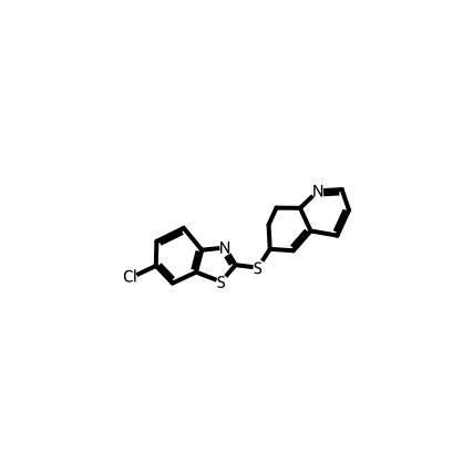 Clc1ccc2nc(SC3C=C4C=CC=NC4CC3)sc2c1